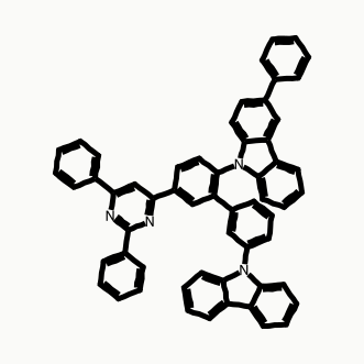 c1ccc(-c2ccc3c(c2)c2ccccc2n3-c2ccc(-c3cc(-c4ccccc4)nc(-c4ccccc4)n3)cc2-c2cccc(-n3c4ccccc4c4ccccc43)c2)cc1